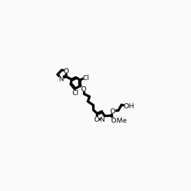 COC(OCCO)c1cc(CCCCCOc2c(Cl)cc(C3=NCCO3)cc2Cl)on1